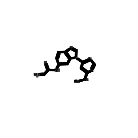 C=CC(=O)Nc1ccc2ncn(-c3cc(NC(C)(C)C)ncn3)c2c1